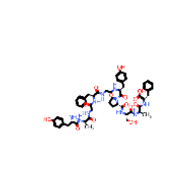 C[C@@H](NC(=O)[C@H](CO)NC(=O)[C@@H]1CCCN1C(=O)[C@H](Cc1ccc(O)cc1)NC(=O)CNC(=O)[C@H](Cc1ccccc1)NC(=O)CNC(=O)[C@@H](C)NC(=O)[C@@H](N)Cc1ccc(O)cc1)C(=O)N[C@@H](Cc1ccccc1)C(=O)O